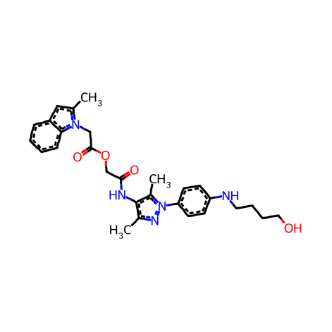 Cc1nn(-c2ccc(NCCCCO)cc2)c(C)c1NC(=O)COC(=O)Cn1c(C)cc2ccccc21